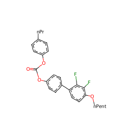 CCCCCOc1ccc(-c2ccc(OC(=O)Oc3ccc(CCC)cc3)cc2)c(F)c1F